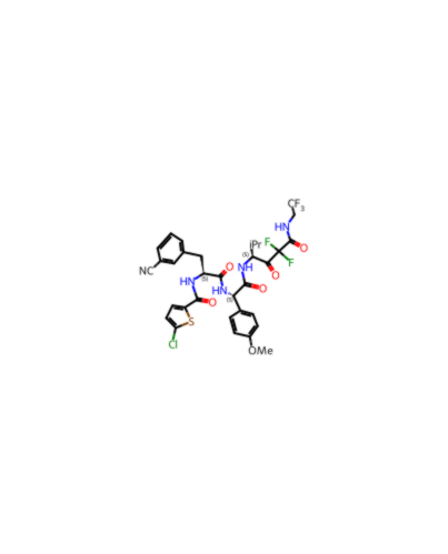 COc1ccc([C@H](NC(=O)[C@H](Cc2cccc(C#N)c2)NC(=O)c2ccc(Cl)s2)C(=O)N[C@H](C(=O)C(F)(F)C(=O)NCC(F)(F)F)C(C)C)cc1